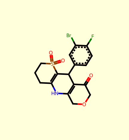 O=C1COCC2=C1C(c1ccc(F)c(Br)c1)C1=C(CCCS1(=O)=O)N2